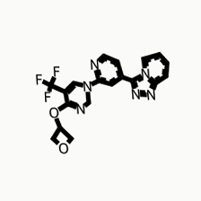 FC(F)(F)C1=CN(c2cc(-c3nnc4ccccn34)ccn2)CN=C1OC1COC1